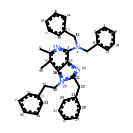 Cc1nc(N(Cc2ccccc2)Cc2ccccc2)c2nc(Cc3ccccc3)n(CCc3ccccc3)c2c1C